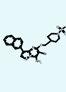 CS(=O)(=O)N1CCC(COc2nc3c(-c4ccc5ccccc5c4)cnn3c(N)c2Br)CC1